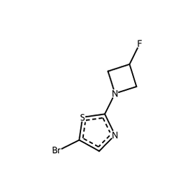 FC1CN(c2ncc(Br)s2)C1